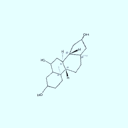 C[C@]12CC[C@H]3[C@@H](CC(O)C4CC(O)CC[C@@]43C)[C@@H]1CC(O)C2